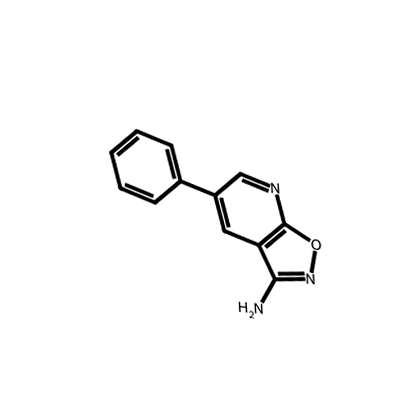 Nc1noc2ncc(-c3ccccc3)cc12